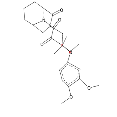 CCC(C)(C)C(=O)C(=O)N1C2CCCC1C(=O)N(CCOc1ccc(OC)c(OC)c1)C2